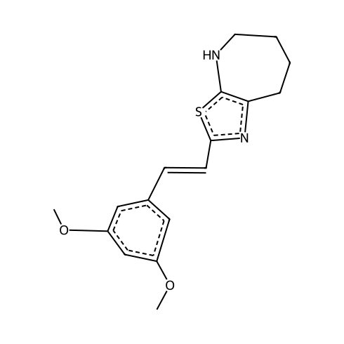 COc1cc(C=Cc2nc3c(s2)NCCCC3)cc(OC)c1